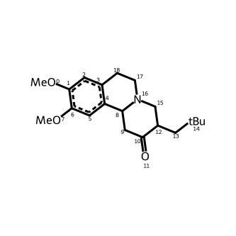 COc1cc2c(cc1OC)C1CC(=O)C(CC(C)(C)C)CN1CC2